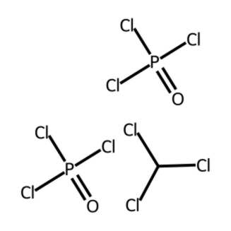 ClC(Cl)Cl.O=P(Cl)(Cl)Cl.O=P(Cl)(Cl)Cl